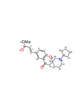 COC(=O)/C=C/c1ccc2c(c1)C(=O)CC1(CCCN(C3CCCC3)C1)O2